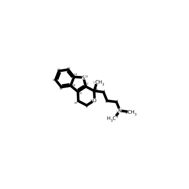 CN(C)CCCC1(C)OCCc2c1sc1ccccc21